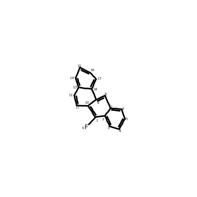 Fc1c2ccccc2cc2c1ccc1ccccc12